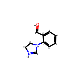 O=Cc1ccccc1N1C=NCC1